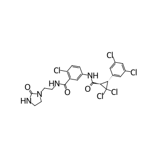 O=C(NCCN1CCNC1=O)c1cc(NC(=O)[C@H]2[C@H](c3cc(Cl)cc(Cl)c3)C2(Cl)Cl)ccc1Cl